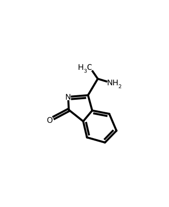 CC(N)C1=NC(=O)c2ccccc21